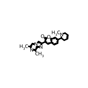 Cc1cn2cc(-c3cc4ccc(C5CC=CCN5C)cc4oc3=O)nc2c(C)n1